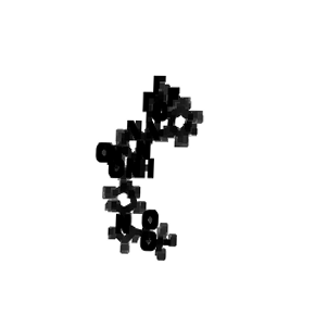 CC(C)(C)OC(=O)C1CCN1C1CCC(CNc2nc(NCc3ccccc3OC(F)(F)F)ncc2[N+](=O)[O-])CC1